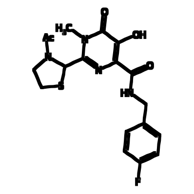 CC(=O)N1CCSC1c1nc(C(=O)NCc2ccc(F)cc2)c(O)c(=O)n1C